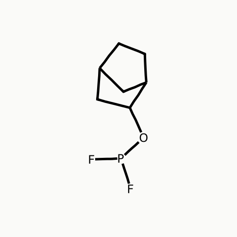 FP(F)OC1CC2CCC1C2